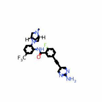 CN1C[C@@H]2C[C@@H]1CN2c1ccc(C(F)(F)F)cc1NC(=O)c1cc(C#Cc2cnc(N)nc2)ccc1F